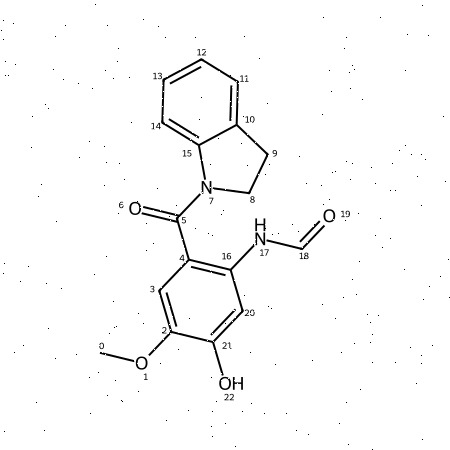 COc1cc(C(=O)N2CCc3ccccc32)c(NC=O)cc1O